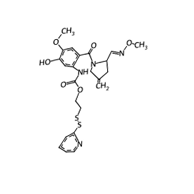 C=C1CC(/C=N/OC)N(C(=O)c2cc(OC)c(O)cc2NC(=O)OCCSSc2ccccn2)C1